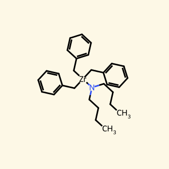 CCCC[N](CCCC)[Zr]([CH2]c1ccccc1)([CH2]c1ccccc1)[CH2]c1ccccc1